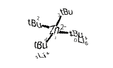 C[C](C)(C)[Zn-2]([C](C)(C)C)([C](C)(C)C)[C](C)(C)C.[Li+].[Li+]